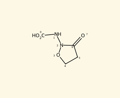 O=C(O)NN1OCCC1=O